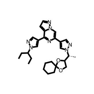 CCC(CC)n1cc(-c2nc(-c3cnn([C@H](C)C4COC5(CCCCC5)O4)c3)cn3nccc23)cn1